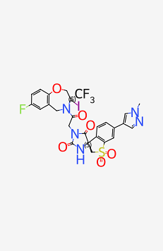 Cn1cc(-c2ccc3c(c2)S(=O)(=O)C[C@]32NC(=O)N(CC(=O)N3Cc4cc(F)ccc4OC[C@]3(I)C(F)(F)F)C2=O)cn1